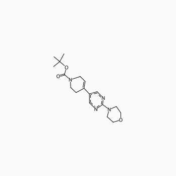 CC(C)(C)OC(=O)N1CC=C(c2cnc(N3CCOCC3)nc2)CC1